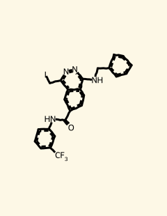 O=C(Nc1cccc(C(F)(F)F)c1)c1ccc2c(NCc3ccccc3)nnc(CI)c2c1